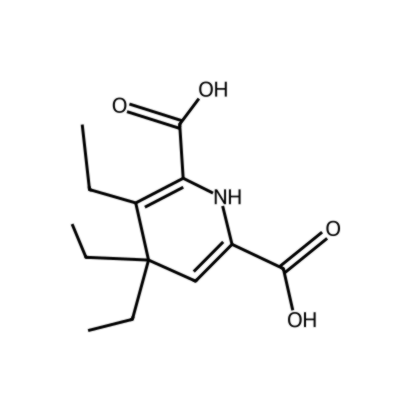 CCC1=C(C(=O)O)NC(C(=O)O)=CC1(CC)CC